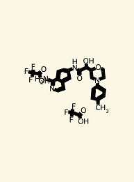 Cc1ccc(N2CCOC(C(O)C(=O)Nc3ccc4c(N)nccc4c3)C2)cc1.O=C(O)C(F)(F)F.O=C(O)C(F)(F)F